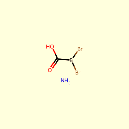 N.O=C(O)B(Br)Br